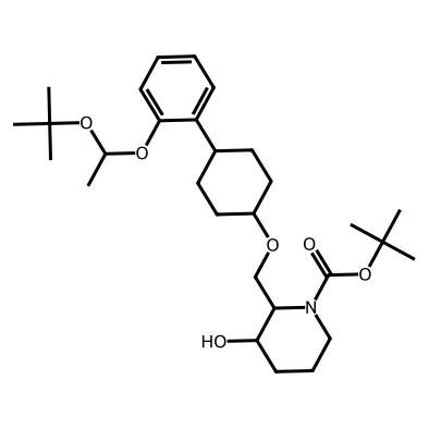 CC(Oc1ccccc1C1CCC(OCC2C(O)CCCN2C(=O)OC(C)(C)C)CC1)OC(C)(C)C